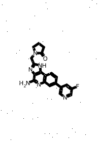 Nc1nc2cc(-c3cncc(F)c3)ccc2c2[nH]c(CN3CCCC3=O)nc12